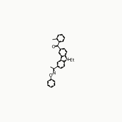 CCn1c2ccc(C(=O)c3ccccc3C)cc2c2cc(C(C)=NOc3ccccc3)ccc21